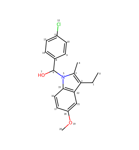 CCc1c(C)n(C(O)c2ccc(Cl)cc2)c2ccc(OC)cc12